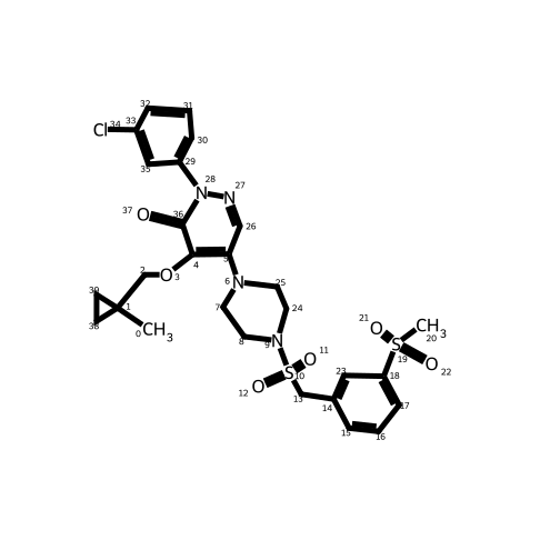 CC1(COc2c(N3CCN(S(=O)(=O)Cc4cccc(S(C)(=O)=O)c4)CC3)cnn(-c3cccc(Cl)c3)c2=O)CC1